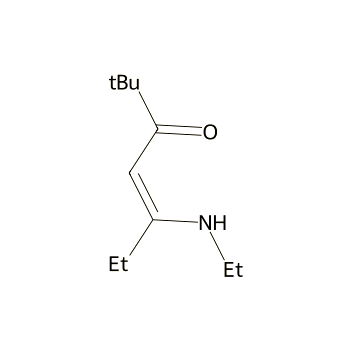 CCN/C(=C\C(=O)C(C)(C)C)CC